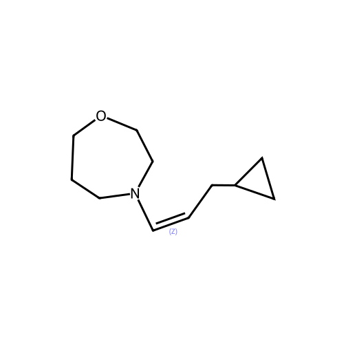 C(=C/N1CCCOCC1)/CC1CC1